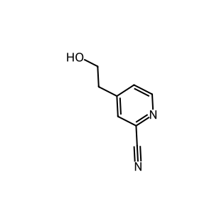 N#Cc1cc(CCO)ccn1